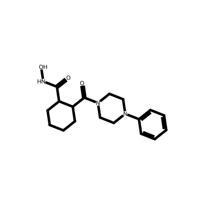 O=C(NO)C1C[CH]CCC1C(=O)N1CCN(c2ccccc2)CC1